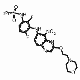 CCCS(=O)(=O)Nc1ccc(F)c(Nc2ccc3ncc(OCCN4CCOCC4)nc3c2[N+](=O)[O-])c1F